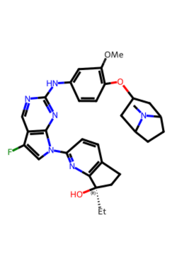 CC[C@@]1(O)CCc2ccc(-n3cc(F)c4cnc(Nc5ccc(OC6CC7CCC(C6)N7C)c(OC)c5)nc43)nc21